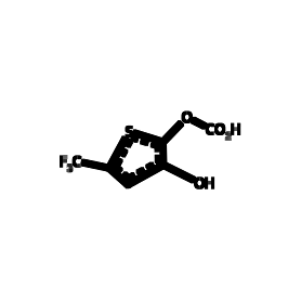 O=C(O)Oc1sc(C(F)(F)F)cc1O